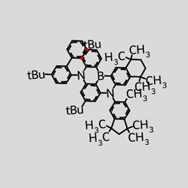 Cc1cc2c(cc1N1c3cc4c(cc3B3c5ccc(C(C)(C)C)cc5N(c5ccc(C(C)(C)C)cc5-c5ccccc5)c5cc(C(C)(C)C)cc1c53)C(C)(C)CCC4(C)C)C(C)(C)CC2(C)C